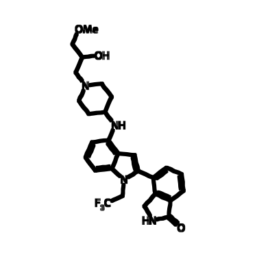 COCC(O)CN1CCC(Nc2cccc3c2cc(-c2cccc4c2CNC4=O)n3CC(F)(F)F)CC1